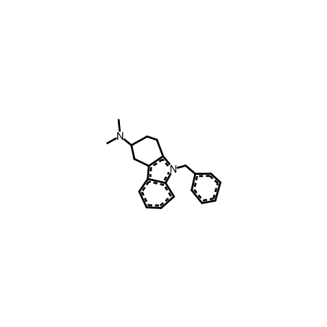 CN(C)C1CCc2c(c3ccccc3n2Cc2ccccc2)C1